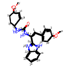 COc1ccc(CC(NC(=O)NC2CCC(OC)CC2)c2nc3ccccc3[nH]2)cc1